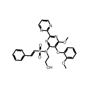 COc1ccccc1Oc1c(OC)nc(-c2ncccn2)nc1N(CCO)S(=O)(=O)/C=C/c1ccccc1